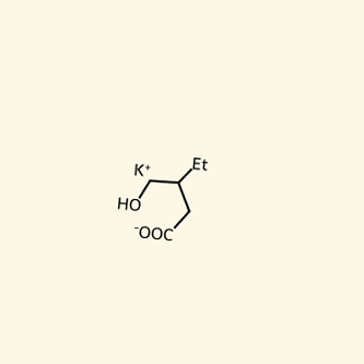 CCC(CO)CC(=O)[O-].[K+]